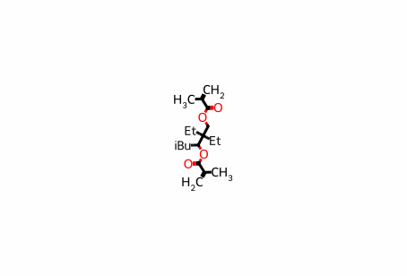 C=C(C)C(=O)OCC(CC)(CC)C(OC(=O)C(=C)C)C(C)CC